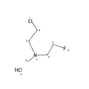 CN(CCF)CCCl.Cl